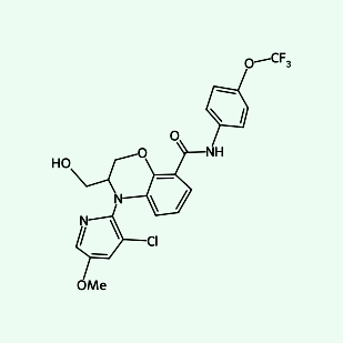 COc1cnc(N2c3cccc(C(=O)Nc4ccc(OC(F)(F)F)cc4)c3OCC2CO)c(Cl)c1